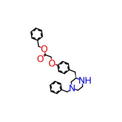 O=C(COc1ccc(C[C@@H]2CN(Cc3ccccc3)CCN2)cc1)OCc1ccccc1